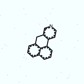 c1cc2c3c(cccc3c1)-c1ccncc1C2